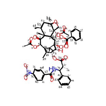 CC(=O)O[C@H]1C(=O)[C@@]2(C)[C@H]([C@H](OC(=O)c3ccccc3)[C@]3(O)C[C@H](OC(=O)[C@H](C)C(NC(=O)c4ccc([N+](=O)[O-])cc4)c4ccccc4)C(C)=C1C3(C)C)[C@]1(OC(C)=O)CO[C@@H]1C[C@@H]2C